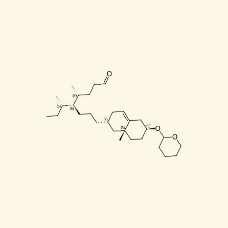 CC[C@H](C)[C@H](CCC[C@@H]1CC=C2C[C@@H](OC3CCCCO3)CC[C@]2(C)C1)[C@H](C)CCC=O